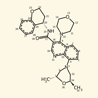 C[C@@H]1CN(c2cccc3c(N4CCOCC4)c(C(=O)N[C@H]4CCOc5ccccc54)cnc23)C[C@@H](C)O1